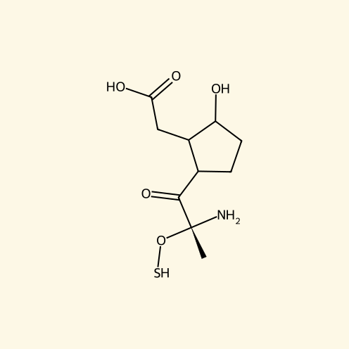 C[C@@](N)(OS)C(=O)C1CCC(O)C1CC(=O)O